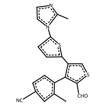 Cc1cc(C#N)ccc1-c1c(-c2ccc(-n3ccnc3C)s2)csc1C=O